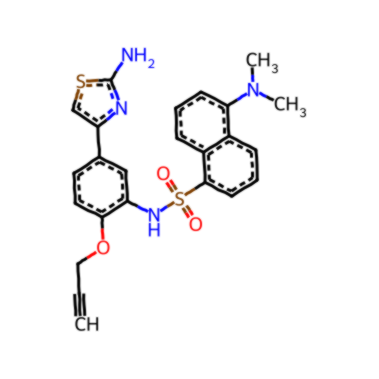 C#CCOc1ccc(-c2csc(N)n2)cc1NS(=O)(=O)c1cccc2c(N(C)C)cccc12